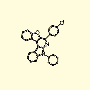 Clc1ccc(-c2nc3c(c4ccccc4n3-c3ccccc3)c3c2oc2ccccc23)cc1